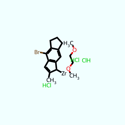 CC1=Cc2c(cc3c(c2Br)CCC3)[CH]1[Zr].COCCOC.Cl.Cl.Cl